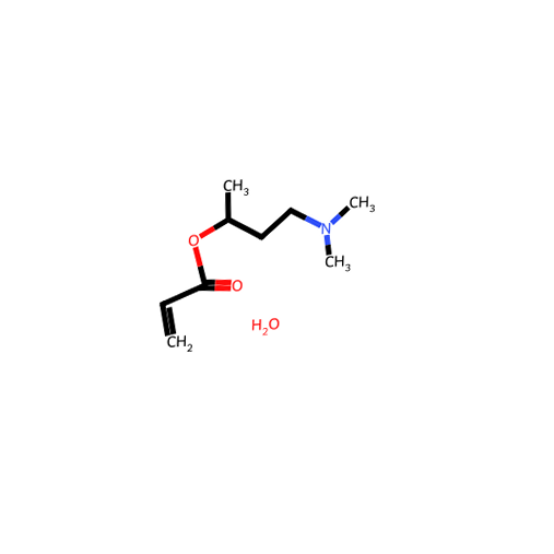 C=CC(=O)OC(C)CCN(C)C.O